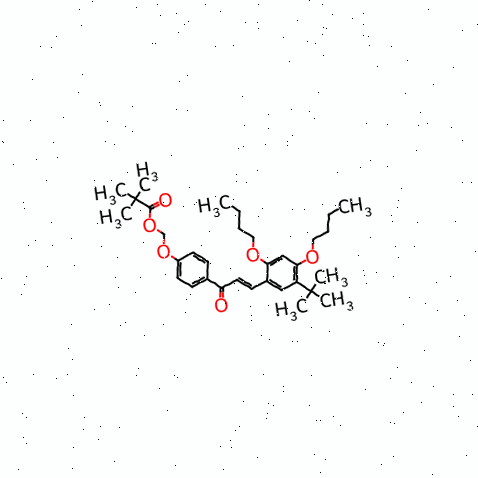 CCCCOc1cc(OCCCC)c(C(C)(C)C)cc1C=CC(=O)c1ccc(OCOC(=O)C(C)(C)C)cc1